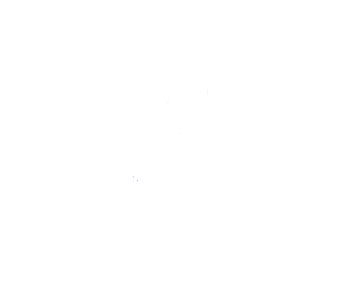 O=C1/C(=C\Cl)CSc2ncccc21